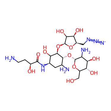 [N-]=[N+]=NC[C@H]1O[C@@H](O[C@@H]2C(O)[C@H](NC(=O)[C@@H](O)CCN)CC(N)[C@H]2O[C@H]2OC(CO)[C@@H](O)[C@H](O)C2N)C(O)[C@H]1O